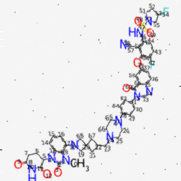 Cn1c(=O)n(C2CCC(=O)NC2=O)c2cccc(N3CC4(CC(CN5CCN(c6ccc(-n7cnc8ccc(Oc9c(F)ccc(NS(=O)(=O)N%10CC[C@@H](F)C%10)c9C#N)cc8c7=O)cc6)CC5)C4)C3)c21